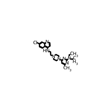 CCN(CC)c1nc(C)cc(N2CCN(CCNc3ccnc4cc(Cl)ccc34)CC2)n1